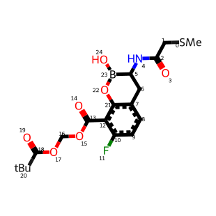 CSCC(=O)NC1Cc2ccc(F)c(C(=O)OCOC(=O)C(C)(C)C)c2OB1O